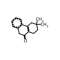 CC1(C)CCC2=C(C1)c1ccccc1CC2=O